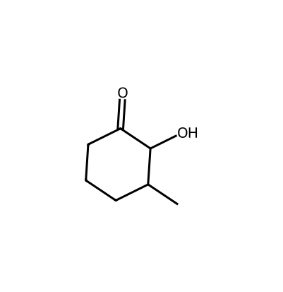 CC1CCCC(=O)C1O